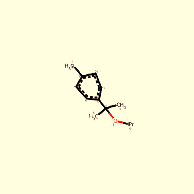 CC(C)OC(C)(C)c1ccc([SiH3])cc1